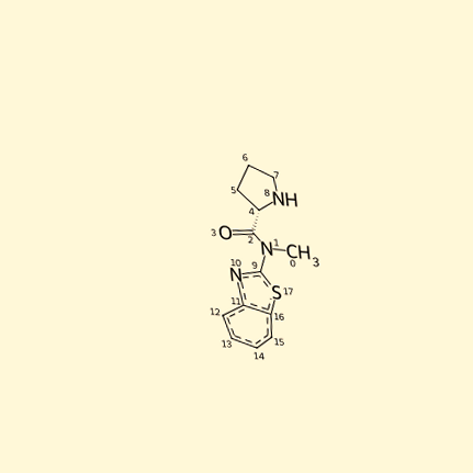 CN(C(=O)[C@@H]1CCCN1)c1nc2ccccc2s1